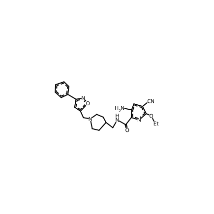 CCOc1nc(C(=O)NCC2CCN(Cc3cc(-c4ccccc4)no3)CC2)c(N)cc1C#N